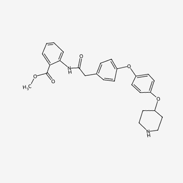 COC(=O)c1ccccc1NC(=O)Cc1ccc(Oc2ccc(OC3CCNCC3)cc2)cc1